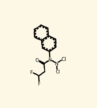 O=C(CC(F)F)N(c1ccc2ccccc2c1)N(Cl)Cl